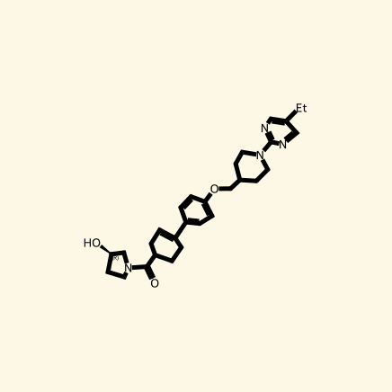 CCc1cnc(N2CCC(COc3ccc(C4=CCC(C(=O)N5CC[C@@H](O)C5)CC4)cc3)CC2)nc1